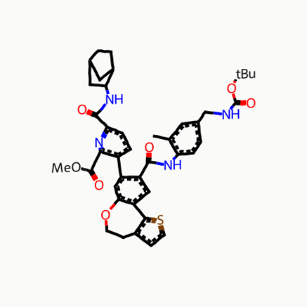 COC(=O)c1nc(C(=O)NC2CC3CCC2C3)ccc1-c1cc2c(cc1C(=O)Nc1ccc(CNC(=O)OC(C)(C)C)cc1C)-c1sccc1CCO2